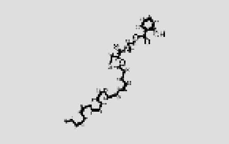 CC/C=C\C/C=C\C/C=C\C/C=C\C/C=C\C/C=C\CCCOC(CC)C(=O)NCCOC(=O)c1ccccc1O